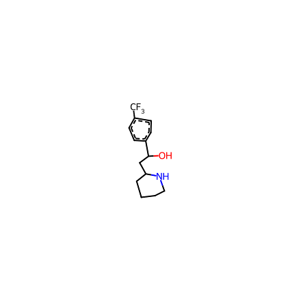 OC(CC1CCCCN1)c1ccc(C(F)(F)F)cc1